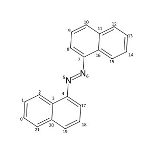 c1ccc2c(N=Nc3cccc4ccccc34)cccc2c1